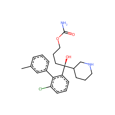 Cc1cccc(-c2c(Cl)cccc2[C@](O)(CCCOC(N)=O)C2CCCNC2)c1